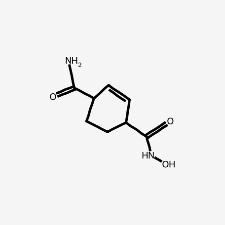 NC(=O)C1C=CC(C(=O)NO)CC1